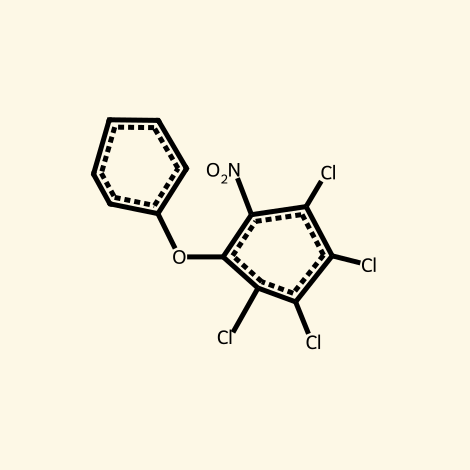 O=[N+]([O-])c1c(Cl)c(Cl)c(Cl)c(Cl)c1Oc1ccccc1